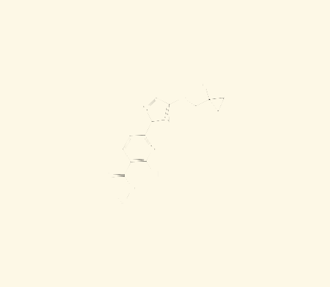 CC(C)(C)OC(=O)c1ccc(C2N=CC(OCC3(C(F)(F)F)CC3)=N2)nc1Cl